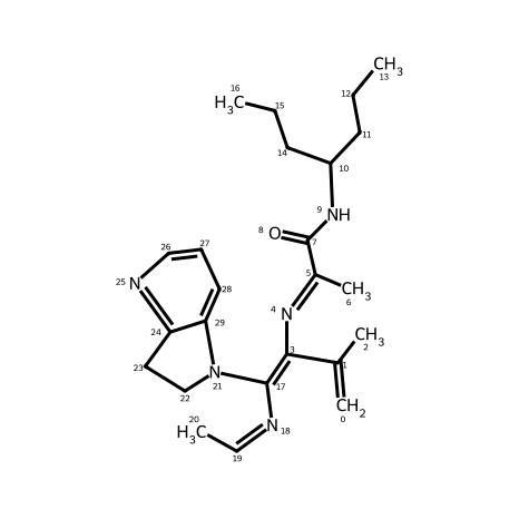 C=C(C)C(/N=C(\C)C(=O)NC(CCC)CCC)=C(\N=C/C)N1CCc2ncccc21